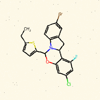 CCc1ccc(C2Oc3cc(Cl)cc(F)c3C3Cc4cc(Br)ccc4N32)s1